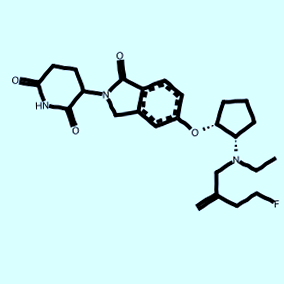 C=C(CCF)CN(CC)[C@H]1CCC[C@H]1Oc1ccc2c(c1)CN(C1CCC(=O)NC1=O)C2=O